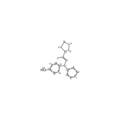 CC(=CC(c1ccccc1)c1ccc(O)cc1)C1CCCC1